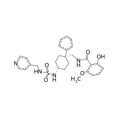 COc1cccc(O)c1C(=O)NC[C@]1(c2ccccc2)CC[C@H](NS(=O)(=O)NCc2ccncc2)CC1